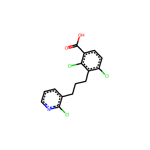 O=C(O)c1ccc(Cl)c(CCCc2cccnc2Cl)c1Cl